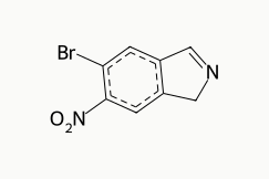 O=[N+]([O-])c1cc2c(cc1Br)C=NC2